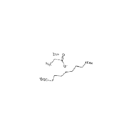 CCC(=O)[O-].CCCCCCCCCCCCCCCCCC(=O)[O-].[Zn+2]